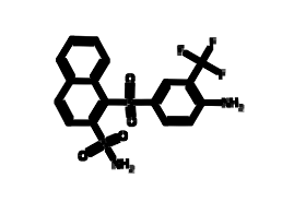 Nc1ccc(S(=O)(=O)c2c(S(N)(=O)=O)ccc3ccccc23)cc1C(F)(F)F